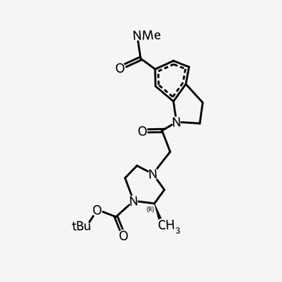 CNC(=O)c1ccc2c(c1)N(C(=O)CN1CCN(C(=O)OC(C)(C)C)[C@H](C)C1)CC2